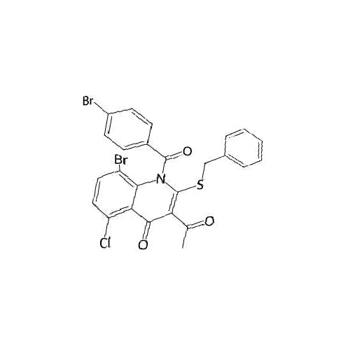 CC(=O)c1c(SCc2ccccc2)n(C(=O)c2ccc(Br)cc2)c2c(Br)ccc(Cl)c2c1=O